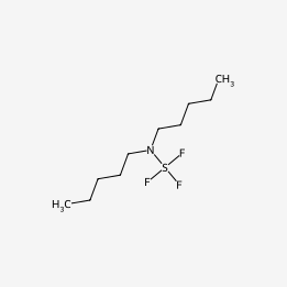 CCCCCN(CCCCC)S(F)(F)F